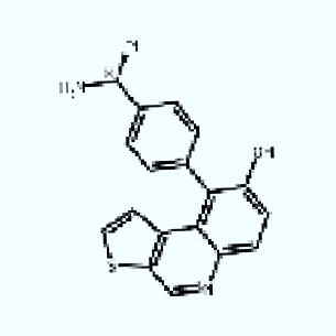 CC[C@H](N)c1ccc(-c2c(O)ccc3ncc4sccc4c23)cc1